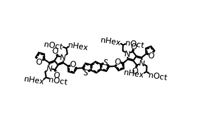 CCCCCCCCC(CCCCCC)CN1C(=O)C2=C(c3ccc(-c4cc5cc6sc(-c7ccc(C8=C9C(=O)N(CC(CCCCCC)CCCCCCCC)C(c%10ccco%10)=C9C(=O)N8CC(CCCCCC)CCCCCCCC)o7)cc6cc5s4)o3)N(CC(CCCCCC)CCCCCCCC)C(=O)C2=C1c1ccco1